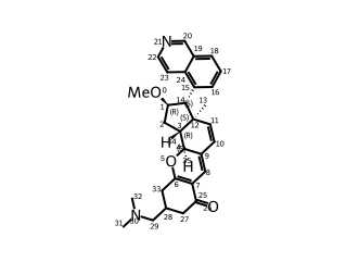 CO[C@@H]1C[C@H]2[C@@H]3OC4=C(C=C3C=C[C@]2(C)[C@H]1c1cccc2cnccc12)C(=O)CC(CN(C)C)C4